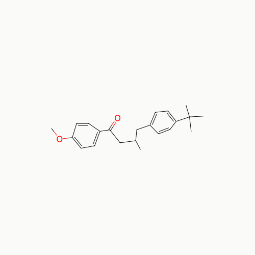 COc1ccc(C(=O)CC(C)Cc2ccc(C(C)(C)C)cc2)cc1